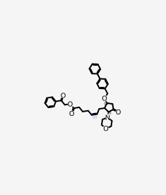 O=C(CCC/C=C\CC1[C@@H](OCc2ccc(-c3ccccc3)cc2)CC(=O)[C@@H]1N1CCOCC1)OCC(=O)c1ccccc1